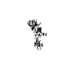 CN(c1cnc(-c2ccc(-c3cnc4c(c3)OCO4)cc2O)nn1)[C@H]1C[C@]2(C)CCC[C@@](C)(N2)[C@H]1F